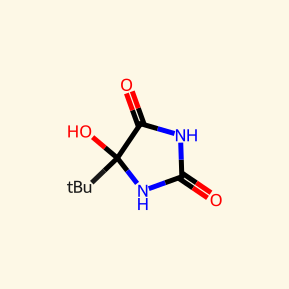 CC(C)(C)C1(O)NC(=O)NC1=O